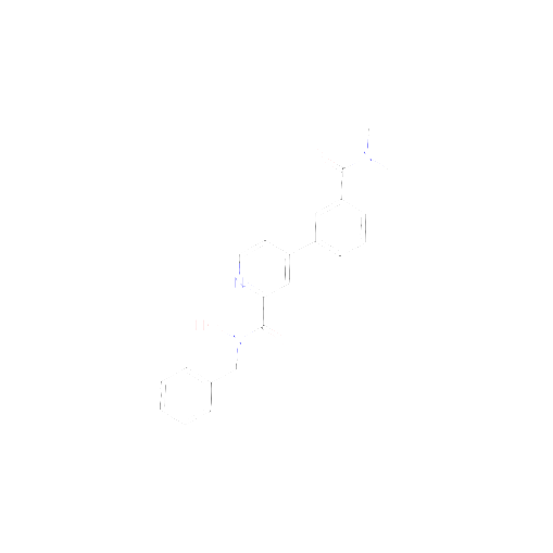 CN(C)C(=O)c1cccc(-c2ccnc(C(=O)N(O)Cc3ccccc3)c2)c1